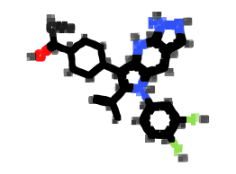 C=C(C)c1c(C2CCC(C(=O)OC)CC2)c2nc3[nH]ncc3cc2n1-c1ccc(F)c(F)c1